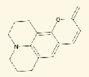 C=C1C=Cc2cc3c4c(c2O1)CCCN4CCC3